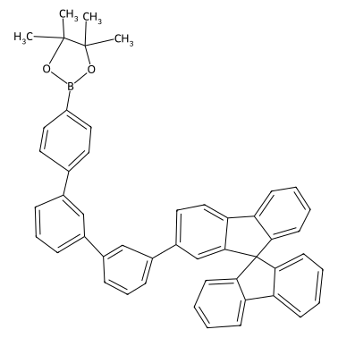 CC1(C)OB(c2ccc(-c3cccc(-c4cccc(-c5ccc6c(c5)C5(c7ccccc7-c7ccccc75)c5ccccc5-6)c4)c3)cc2)OC1(C)C